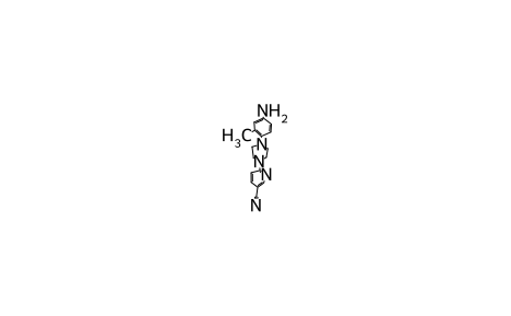 Cc1cc(N)ccc1N1CCN(c2ccc(C#N)cn2)CC1